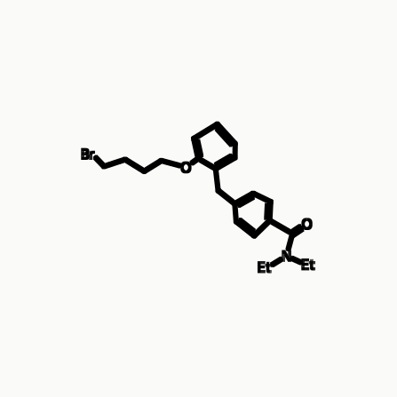 CCN(CC)C(=O)c1ccc(Cc2ccccc2OCCCCBr)cc1